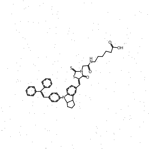 O=C(O)CCCCCNC(=O)CN1C(=O)/C(=C/c2ccc3c(c2)C2CCCC2N3c2ccc(C=C(c3ccccc3)c3ccccc3)cc2)SC1=S